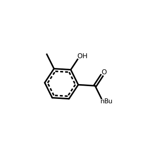 CCCCC(=O)c1cccc(C)c1O